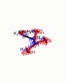 CC(=O)NC1C(OCCOCCNC(=O)CCC(NC(=O)CCC(NC(=O)CCCCCCCCCCC(=O)NC[C@H]2C[C@@H](OC(C)(C)C)[C@H](CO)O2)C(=O)NCCOCCOC2OC(CO)C(O)C(O)C2NC(C)=O)C(=O)NCCOCCOC2OC(CO)C(O)C(O)C2NC(C)=O)OC(CO)C(O)C1O